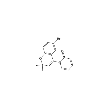 CC1(C)C=C(n2ccccc2=O)c2cc(Br)ccc2O1